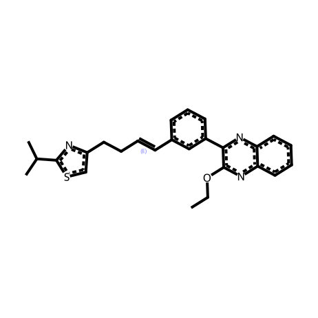 CCOc1nc2ccccc2nc1-c1cccc(/C=C/CCc2csc(C(C)C)n2)c1